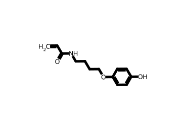 C=CC(=O)NCCCCOc1ccc(O)cc1